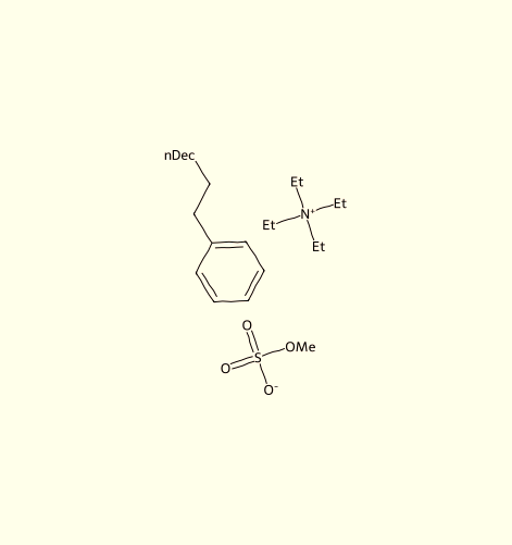 CCCCCCCCCCCCc1ccccc1.CC[N+](CC)(CC)CC.COS(=O)(=O)[O-]